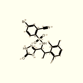 Cc1ccc(F)c(C(C)C(NS(=O)(=O)c2ccc(Br)cc2C#N)c2n[nH]c(=O)o2)c1C